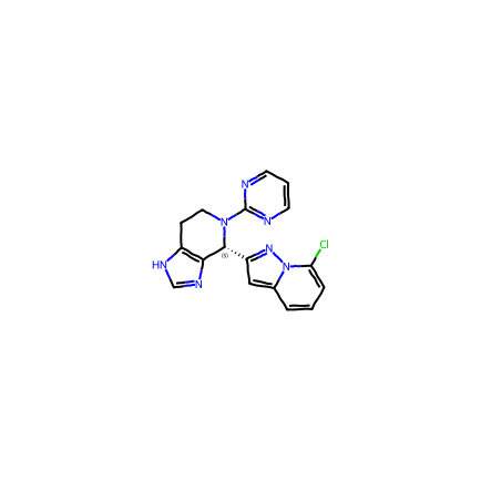 Clc1cccc2cc([C@@H]3c4nc[nH]c4CCN3c3ncccn3)nn12